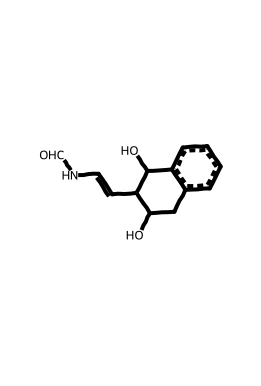 O=CNC=CC1C(O)Cc2ccccc2C1O